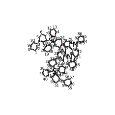 c1ccc(-c2cccc([Si](c3ccccc3)(c3ccccc3)c3cccc(-c4cc(-c5cccc([Si](c6ccccc6)(c6ccccc6)c6cccc(-c7ccccc7)c6)c5)nc(-n5c6ccccc6c6ccc7c(c8ccccc8n7-c7ccccc7)c65)n4)c3)c2)cc1